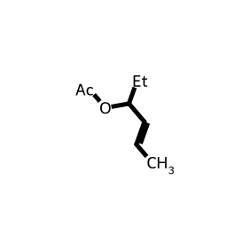 C/C=C/C(CC)OC(C)=O